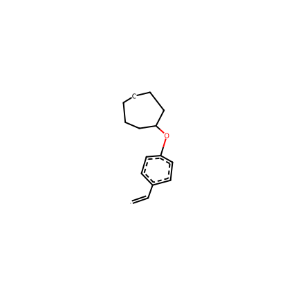 [CH]=Cc1ccc(OC2CCCCCC2)cc1